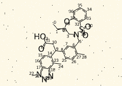 CC[C@@H]1CN(Cc2cc(C(CC(=O)O)c3ccc4c(nnn4C)c3C)ccc2C)S(=O)(=O)c2ccccc2O1